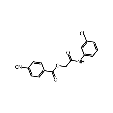 [C-]#[N+]c1ccc(C(=O)OCC(=O)Nc2cccc(Cl)c2)cc1